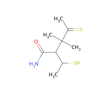 CC(=S)C(C)(C)C(C(N)=O)C(C)S